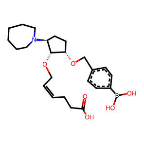 O=C(O)CC/C=C\CO[C@H]1[C@@H](OCc2ccc(B(O)O)cc2)CC[C@@H]1N1CCCCCC1